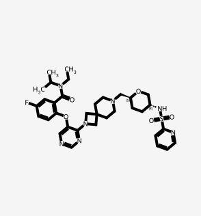 CCN(C(=O)c1cc(F)ccc1Oc1cncnc1N1CC2(CCN(C[C@@H]3CC[C@@H](NS(=O)(=O)c4ccccn4)CO3)CC2)C1)C(C)C